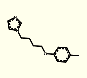 Cc1ccc(OCCCCn2ccnc2)cc1